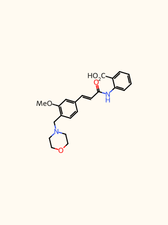 COc1cc(C=CC(=O)Nc2ccccc2C(=O)O)ccc1CN1CCOCC1